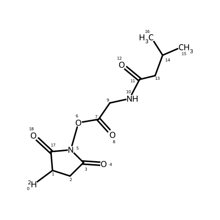 [2H]C1CC(=O)N(OC(=O)CNC(=O)CC(C)C)C1=O